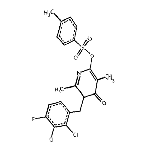 CC1=NC(OS(=O)(=O)c2ccc(C)cc2)=C(C)C(=O)C1Cc1ccc(F)c(Cl)c1Cl